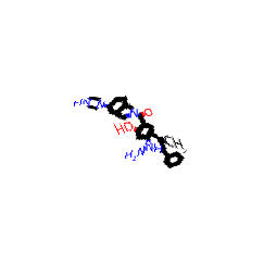 C=C(Cc1ccccc1)c1cc(C(=O)N2Cc3ccc(N4CCNCC4)cc3C2)c(O)cc1NN